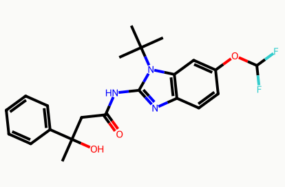 CC(O)(CC(=O)Nc1nc2ccc(OC(F)F)cc2n1C(C)(C)C)c1ccccc1